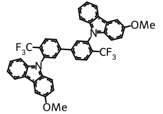 COc1ccc2c(c1)c1ccccc1n2-c1cc(-c2ccc(C(F)(F)F)c(-n3c4ccccc4c4cc(OC)ccc43)c2)ccc1C(F)(F)F